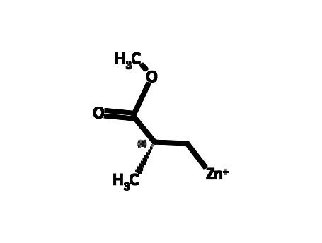 COC(=O)[C@@H](C)[CH2][Zn+]